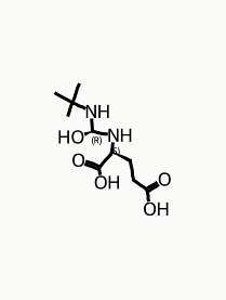 CC(C)(C)N[C@H](O)N[C@@H](CCC(=O)O)C(=O)O